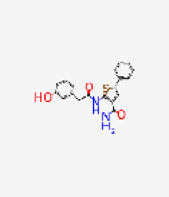 NC(=O)c1cc(-c2ccccc2)sc1NC(=O)Cc1cccc(O)c1